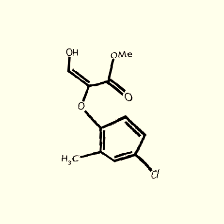 COC(=O)C(=CO)Oc1ccc(Cl)cc1C